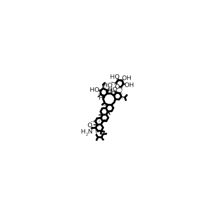 CCC(C)C(C)C[C@@H]1C(C(N)=O)[C@@]2(C)C(CC1(C)C)C1=CCC3[C@@]4(C)CCC5CC6C[C@H](C(C)C)[C@@H](C[C@@H]7O[C@H](CO)[C@@H](O)[C@H](O)[C@H]7O)[C@H](O)[C@H]6C[C@@H]6C[C@H](CC)[C@@H](O)[C@H](C)[C@H]6CC(C)[C@]5(C)C4CC[C@@]3(C)[C@]1(C)C[C@H]2C